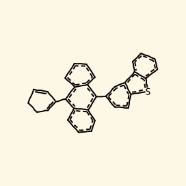 C1=CC(c2c3ccccc3c(-c3ccc4sc5ccccc5c4c3)c3ccccc23)=CCC1